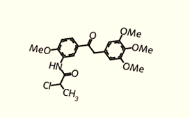 COc1ccc(C(=O)Cc2cc(OC)c(OC)c(OC)c2)cc1NC(=O)C(C)Cl